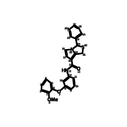 COc1ccccc1Oc1cccc(NC(=O)c2ccn3c2CSC3c2cccnc2)c1